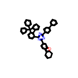 C1=Cc2c(oc3cc(-c4nc(-c5ccc(-c6ccccc6)cc5)nc(-c5cccc6c5-c5ccccc5C6(c5ccccc5)c5ccccc5)n4)ccc23)CC1